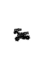 COC(=O)/C=C/CC[C@@H]1O[C@@H](CO)[C@@H](OC(=O)c2ccccc2)[C@H](O)[C@H]1OC(=O)c1ccccc1